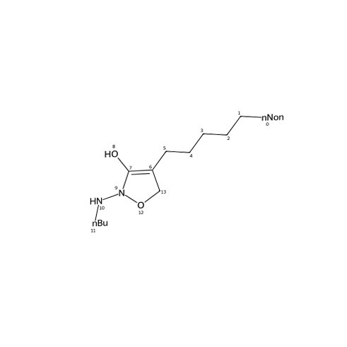 CCCCCCCCCCCCCCC1=C(O)N(NCCCC)OC1